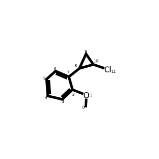 COc1ccccc1C1CC1Cl